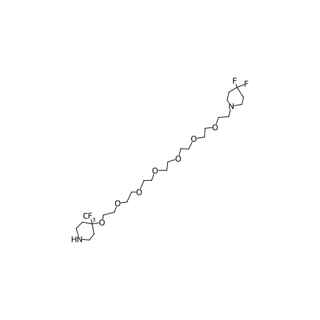 FC1(F)CCN(CCOCCOCCOCCOCCOCCOCCOC2(C(F)(F)F)CCNCC2)CC1